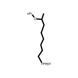 CCCCCCCCCCCCCC(C)OCCC